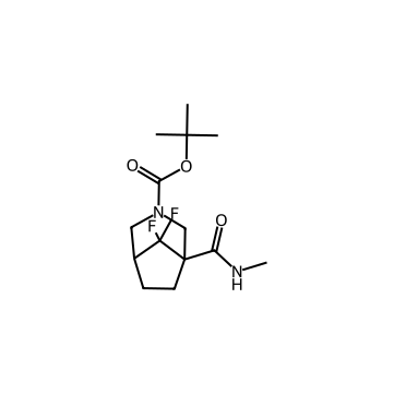 CNC(=O)C12CCC(CN(C(=O)OC(C)(C)C)C1)C2(F)F